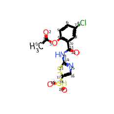 CC(=O)Oc1ccc(Cl)cc1C(=O)Nc1ncc([SH](=O)=O)s1